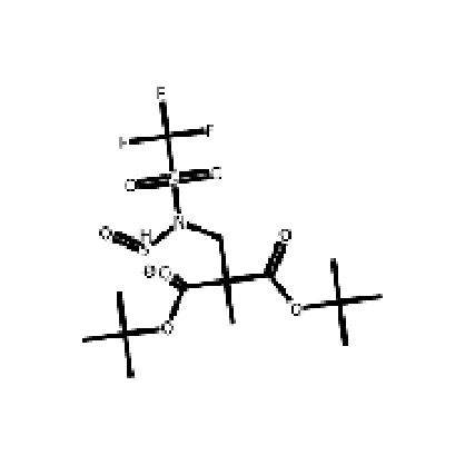 CC(C)(C)OC(=O)C(C)(CN([SH](=O)=O)S(=O)(=O)C(F)(F)F)C(=O)OC(C)(C)C